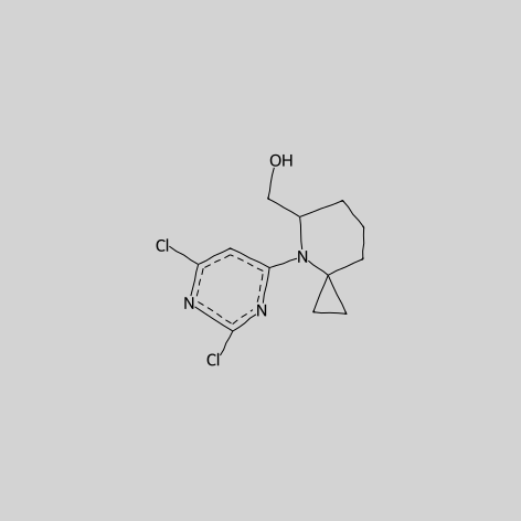 OCC1CCCC2(CC2)N1c1cc(Cl)nc(Cl)n1